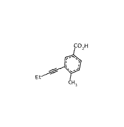 CCC#Cc1cc(C(=O)O)ccc1C